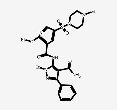 CCOc1ncc(S(=O)(=O)N2CCN(CC)CC2)cc1C(=O)Nc1c(C(N)=O)c(-c2ccccc2)nn1CC